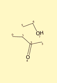 CCC(C)=O.CCO